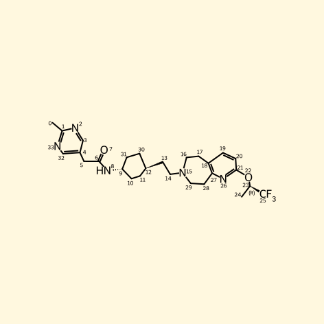 Cc1ncc(CC(=O)N[C@H]2CC[C@H](CCN3CCc4ccc(O[C@H](C)C(F)(F)F)nc4CC3)CC2)cn1